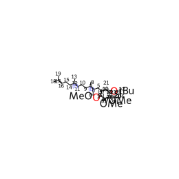 COCO[C@H]1[C@@H](C/C=C(\C)CC/C=C(\C)CCC=C(C)C)[C@H](C)[C@@H](O[Si](C)(C)C(C)(C)C)[C@H](OC)[C@@H]1OC